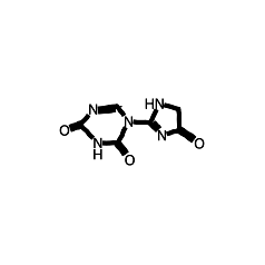 O=C1CNC(n2[c]nc(=O)[nH]c2=O)=N1